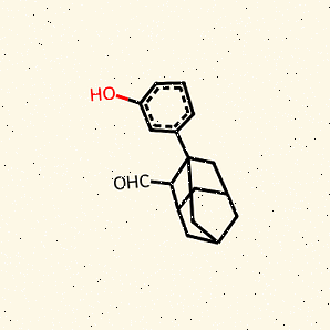 O=CC1C2CC3CC(C2)CC1(c1cccc(O)c1)C3